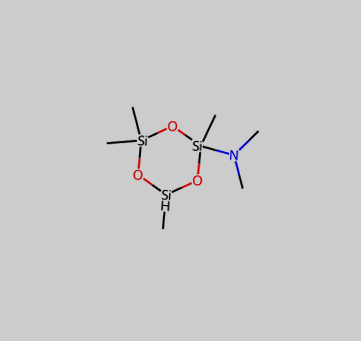 CN(C)[Si]1(C)O[SiH](C)O[Si](C)(C)O1